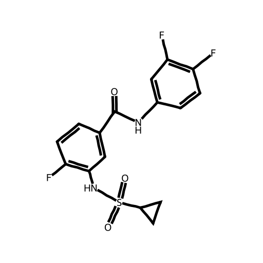 O=C(Nc1ccc(F)c(F)c1)c1ccc(F)c(NS(=O)(=O)C2CC2)c1